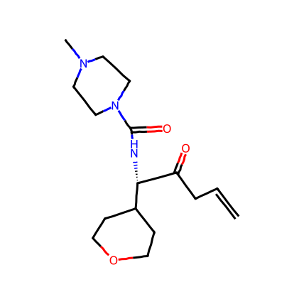 C=CCC(=O)[C@@H](NC(=O)N1CCN(C)CC1)C1CCOCC1